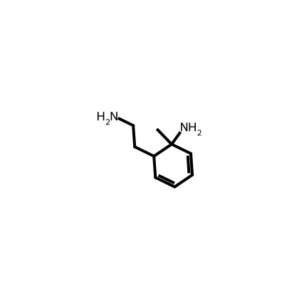 CC1(N)C=CC=CC1CCN